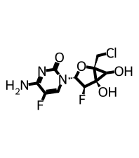 Nc1nc(=O)n([C@@H]2O[C@]3(CCl)C(O)[C@]3(O)[C@H]2F)cc1F